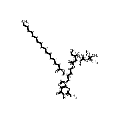 CCCCCCCCCCCCCCCCCC(=O)OC[C@H](CCOC(=O)[C@@H](NC(=O)OC(C)(C)C)C(C)CC)Cn1cnc2c(=O)[nH]c(N)nc21